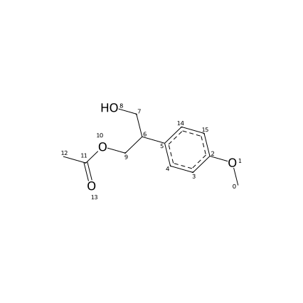 COc1ccc(C(CO)COC(C)=O)cc1